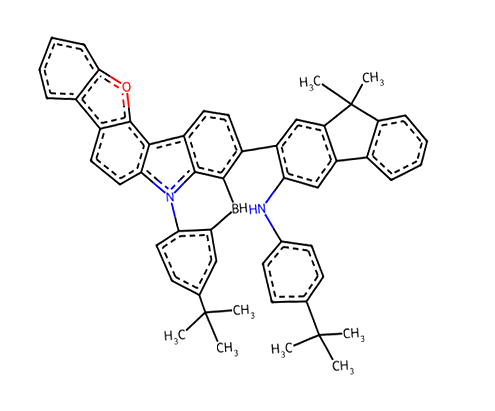 CC(C)(C)c1ccc(Nc2cc3c(cc2-c2ccc4c5c6oc7ccccc7c6ccc5n5c4c2Bc2cc(C(C)(C)C)ccc2-5)C(C)(C)c2ccccc2-3)cc1